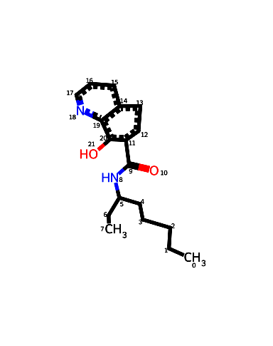 CCCCCC(CC)NC(=O)c1ccc2cccnc2c1O